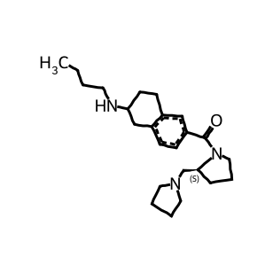 CCCCNC1CCc2cc(C(=O)N3CCC[C@H]3CN3CCCC3)ccc2C1